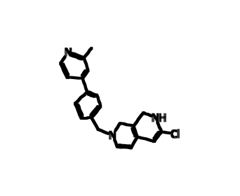 Cc1cc(-c2ccc(CN3C=CC4=C(CNC(Cl)=C4)C3)cc2)ccn1